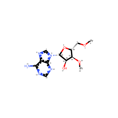 CC(C)OC[C@H]1O[C@@H](n2cnc3c(N)ncnc32)[C@H](O)[C@@H]1OC(C)C